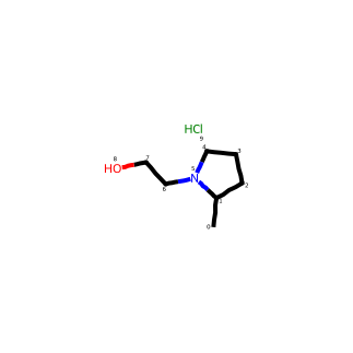 CC1CCCN1CCO.Cl